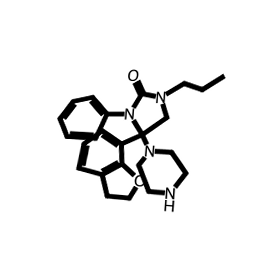 CCCN1CC(c2cccc3c2OCC3)(N2CCNCC2)N(c2ccccc2)C1=O